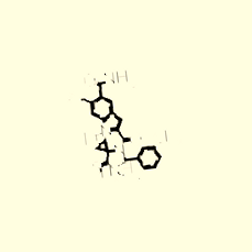 CCn1c(C(=O)N(C(c2cccc(C(F)(F)F)c2)C(F)(F)F)C2(C(N)=S)CC2)cc2cc(C(N)=O)c(Cl)cc21